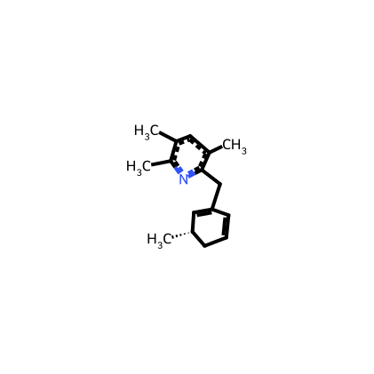 Cc1cc(C)c(CC2=C[C@@H](C)CC=C2)nc1C